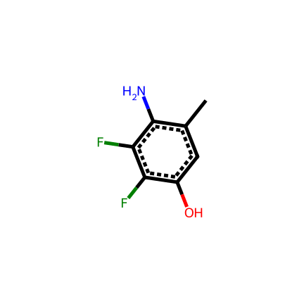 Cc1cc(O)c(F)c(F)c1N